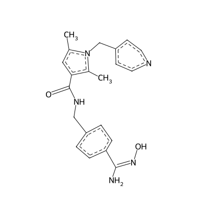 Cc1cc(C(=O)NCc2ccc(/C(N)=N\O)cc2)c(C)n1Cc1ccncc1